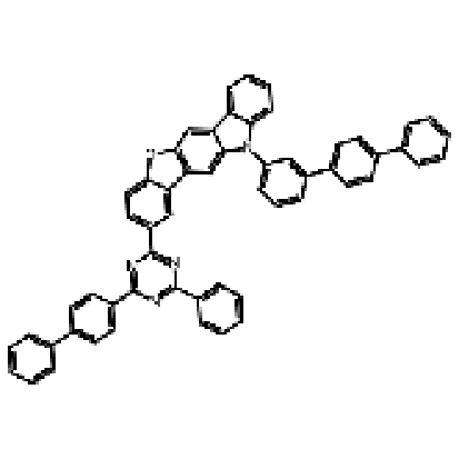 c1ccc(-c2ccc(-c3cccc(-n4c5ccccc5c5cc6oc7ccc(-c8nc(-c9ccccc9)nc(-c9ccc(-c%10ccccc%10)cc9)n8)cc7c6cc54)c3)cc2)cc1